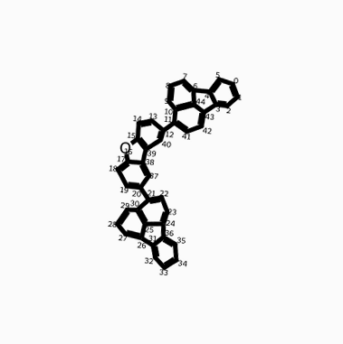 c1ccc2c(c1)-c1cccc3c(-c4ccc5oc6ccc(-c7ccc8c9c(cccc79)-c7ccccc7-8)cc6c5c4)ccc-2c13